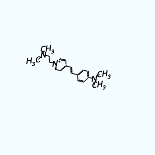 CN(C)CC[n+]1ccc(/C=C/c2ccc(N(C)C)cc2)cc1